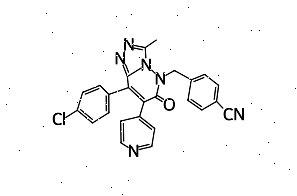 Cc1nnc2c(-c3ccc(Cl)cc3)c(-c3ccncc3)c(=O)n(Cc3ccc(C#N)cc3)n12